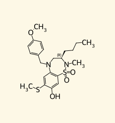 CCCC[C@@H]1CN(Cc2ccc(OC)cc2)c2cc(SC)c(O)cc2S(=O)(=O)N1C